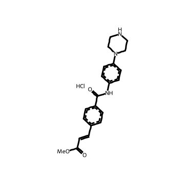 COC(=O)C=Cc1ccc(C(=O)Nc2ccc(N3CCNCC3)cc2)cc1.Cl